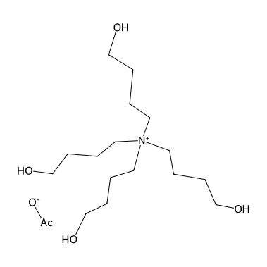 CC(=O)[O-].OCCCC[N+](CCCCO)(CCCCO)CCCCO